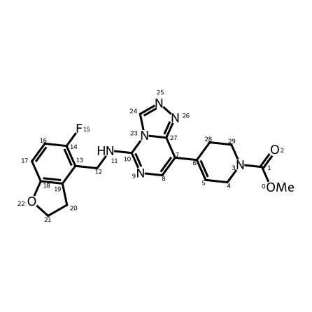 COC(=O)N1CC=C(c2cnc(NCc3c(F)ccc4c3CCO4)n3cnnc23)CC1